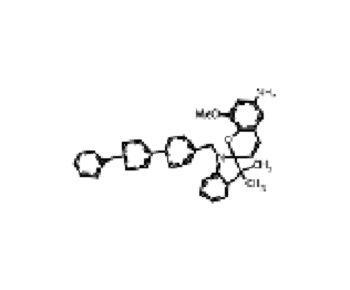 COc1cc(N)cc2c1OC1(C=C2)N(Cc2ccc(-c3ccc(-c4ccccc4)cc3)cc2)c2ccccc2C1(C)C